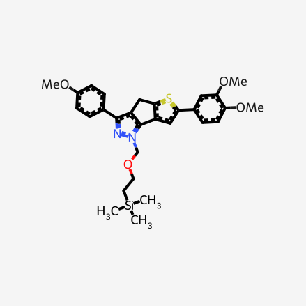 COc1ccc(-c2nn(COCC[Si](C)(C)C)c3c2Cc2sc(-c4ccc(OC)c(OC)c4)cc2-3)cc1